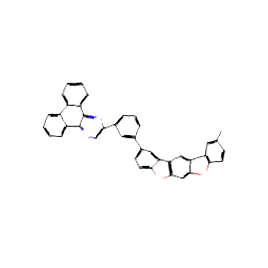 Cc1ccc2oc3cc4oc5ccc(-c6cccc(-c7cnc8c9ccccc9c9ccccc9c8n7)c6)cc5c4cc3c2c1